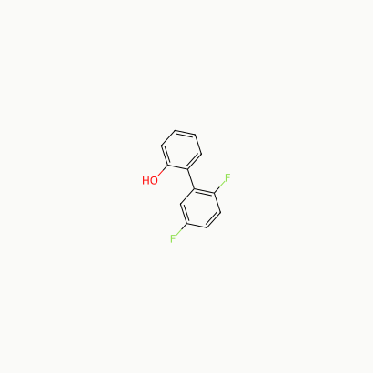 Oc1ccccc1-c1cc(F)ccc1F